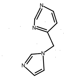 c1cc(Cn2ccnc2)ncn1